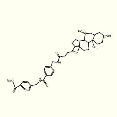 COC(=O)c1ccc(CNC(=O)c2ccc(CNC(=O)CCCC3CCC4C5C(CC[C@]34C)C3(C)CC[C@@H](O)CC3C[C@@H]5O)cc2)cc1